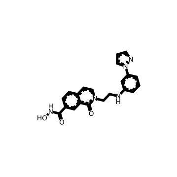 O=C(NO)c1ccc2ccn(CCNc3cccc(-n4cccn4)c3)c(=O)c2c1